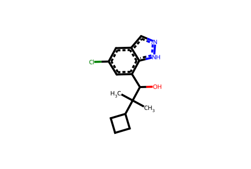 CC(C)(C1CCC1)C(O)c1cc(Cl)cc2cn[nH]c12